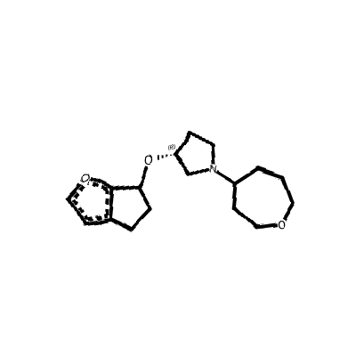 c1cc2c(o1)C(O[C@@H]1CCN(C3CCCOCC3)C1)CC2